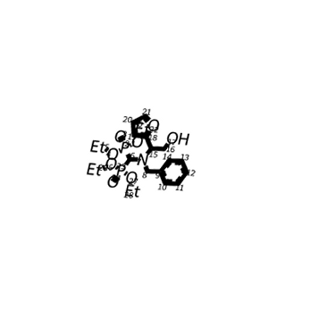 CCOP(=O)(OCC)C(N(Cc1ccccc1)C(CO)c1ccco1)P(=O)(OCC)OCC